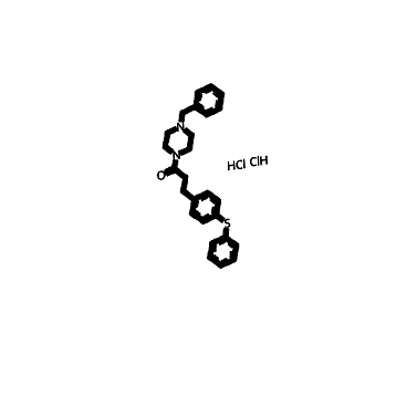 Cl.Cl.O=C(CCc1ccc(Sc2ccccc2)cc1)N1CCN(Cc2ccccc2)CC1